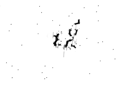 CCCN1CCN(c2cc(Nc3ncc(C(=O)Cl)s3)nc(C)n2)CC1